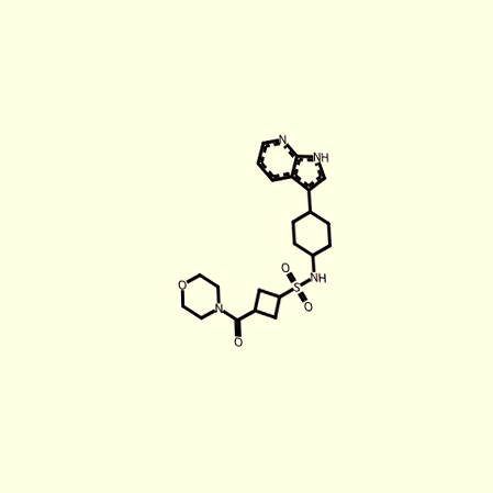 O=C(C1CC(S(=O)(=O)NC2CCC(c3c[nH]c4ncccc34)CC2)C1)N1CCOCC1